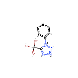 BrC(Br)(Br)c1nnnn1-c1ccccc1